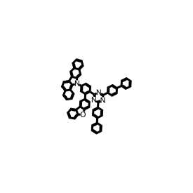 c1ccc(-c2ccc(-c3nc(-c4ccc(-c5ccccc5)cc4)nc(-c4ccc(-n5c6cc7ccccc7cc6c6ccc7ccccc7c65)cc4-c4ccc5oc6ccccc6c5c4)n3)cc2)cc1